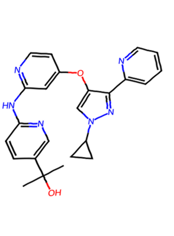 CC(C)(O)c1ccc(Nc2cc(Oc3cn(C4CC4)nc3-c3ccccn3)ccn2)nc1